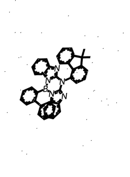 CC1(C)c2ccccc2-c2c(N3c4nc5ccccc5n4B(c4ccccc4-c4ccccc4)n4c3nc3ccccc34)cccc21